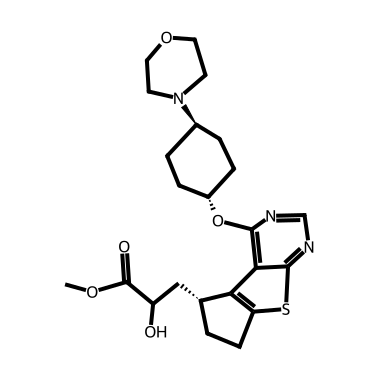 COC(=O)C(O)C[C@H]1CCc2sc3ncnc(O[C@H]4CC[C@H](N5CCOCC5)CC4)c3c21